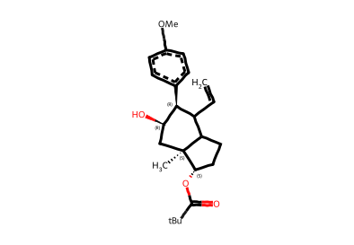 C=CC1C2CC[C@H](OC(=O)C(C)(C)C)[C@@]2(C)C[C@@H](O)[C@H]1c1ccc(OC)cc1